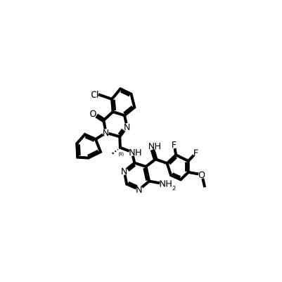 COc1ccc(C(=N)c2c(N)ncnc2N[C@H](C)c2nc3cccc(Cl)c3c(=O)n2-c2ccccc2)c(F)c1F